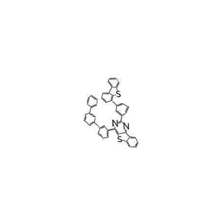 c1ccc(-c2cccc(-c3cccc(-c4nc(-c5cccc(-c6cccc7c6sc6ccccc67)c5)nc5c4sc4ccccc45)c3)c2)cc1